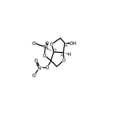 O=[N+]([O-])OC1(O[N+](=O)[O-])CO[C@@H]2[C@H](O)CO[C@@H]21